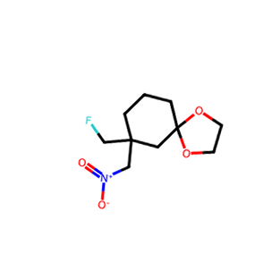 O=[N+]([O-])CC1(CF)CCCC2(C1)OCCO2